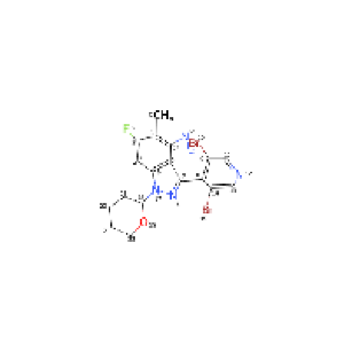 Cc1c(F)cc2c(c(-c3c(Br)cncc3Br)nn2C2CCCCO2)c1N